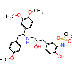 COc1ccc(CC(NC[C@@H](O)Cc2ccc(O)c(NS(C)(=O)=O)c2)c2ccc(OC)c(OC)c2)cc1